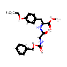 CCOC(=O)COc1ccc(CC(NC(=O)CNC(=O)OCc2ccccc2)C(=O)OC(C)(C)C)cc1